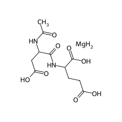 CC(=O)NC(CC(=O)O)C(=O)NC(CCC(=O)O)C(=O)O.[MgH2]